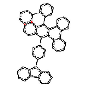 c1ccc(-c2ccccc2-c2c3ccccc3c(-c3ccc(-n4c5ccccc5c5ccccc54)cc3)c3c4ccccc4c4ccccc4c23)cc1